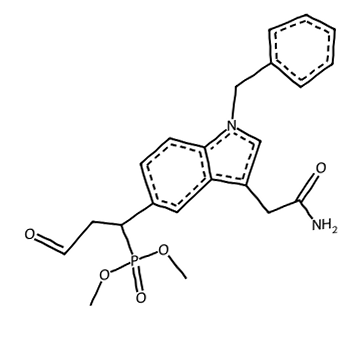 COP(=O)(OC)C(CC=O)c1ccc2c(c1)c(CC(N)=O)cn2Cc1ccccc1